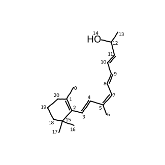 CC1=C(/C=C/C(C)=C\C=C\C=C\C(C)O)C(C)(C)CCC1